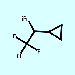 CC(C)C(C1CC1)C([O])(F)F